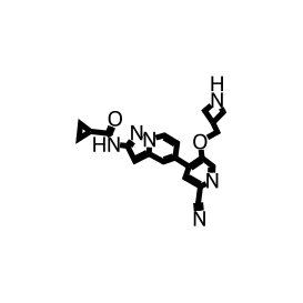 N#Cc1cc(-c2ccn3nc(NC(=O)C4CC4)cc3c2)c(OCC2CNC2)cn1